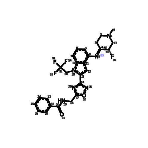 CN1CC/C(=N\c2cccc3c2cc(-c2noc(CNC(=O)c4ccccc4)n2)n3CC(F)(F)F)[C@@H](F)C1